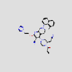 C=CC(=O)N1CCN(c2c(C#N)c(OCCn3cncn3)nc3c2CCN(c2cccc4cccc(C)c24)C3)CC1CC#N